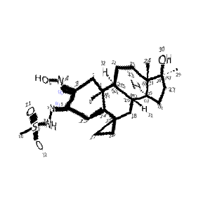 C[C@]12CC(=N/O)/C(=N/NS(C)(=O)=O)C=C1C1(CC1)C[C@@H]1[C@@H]2CC[C@@]2(C)[C@H]1CC[C@]2(C)O